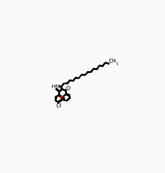 CCCCCCCCCCCCCCCCCc1[nH]cc(-c2ccc(Cl)cc2)c1C(=O)c1ccccc1